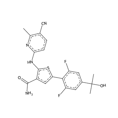 Cc1nc(Nc2sc(-c3c(F)cc(C(C)(C)O)cc3F)cc2C(N)=O)ccc1C#N